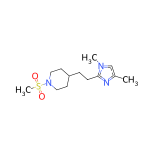 Cc1cn(C)c(CCC2CCN(S(C)(=O)=O)CC2)n1